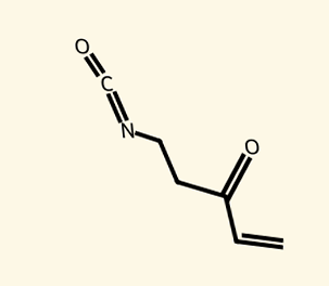 C=CC(=O)CCN=C=O